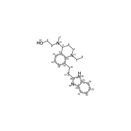 CCN1CCC(N(C)CCO)c2cccc(CSc3nc4ccccc4[nH]3)c21